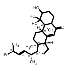 CC(C)[C@@H](C)/C=C/[C@@H](C)[C@H]1CC[C@H]2C3=CC(=O)C4CCC(O)C(O)(O)[C@]4(C)[C@H]3CC[C@]12C